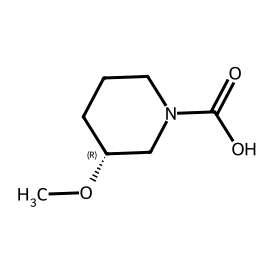 CO[C@@H]1CCCN(C(=O)O)C1